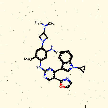 COc1cc(N2CC(N(C)C)C2)c(NC=O)cc1Nc1ncc(-c2ncco2)c(-c2cn(C3CC3)c3ccccc23)n1